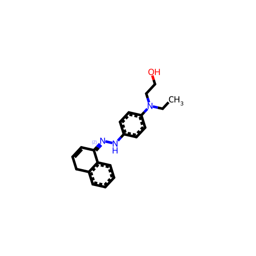 CCN(CCO)c1ccc(N/N=C2/C=CCc3ccccc32)cc1